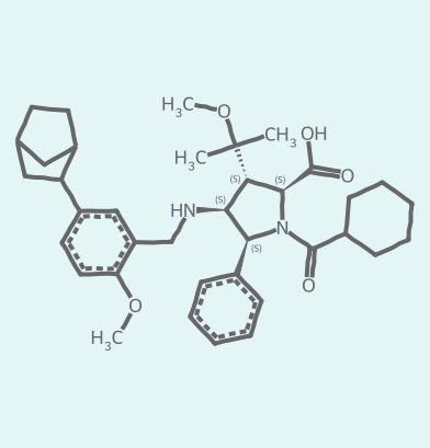 COc1ccc(C2CC3CCC2C3)cc1CN[C@H]1[C@H](C(C)(C)OC)[C@@H](C(=O)O)N(C(=O)C2CCCCC2)[C@H]1c1ccccc1